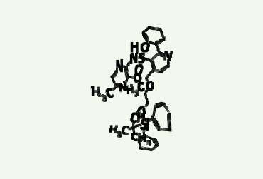 COc1nc(C)cnc1NS(=O)(=O)c1c(COCCO[Si](c2ccccc2)(c2ccccc2)C(C)(C)C)ccnc1-c1ccccc1